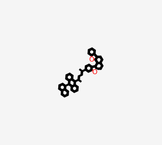 C/C(=C\C=C(/C)c1c2ccccc2c(-c2cccc3ccccc23)c2ccccc12)c1ccc2c(c1)oc1ccc3ccc4c5ccccc5oc4c3c12